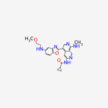 CNc1ncc(-c2nc3cc(NCCOC)ccc3o2)c2cc(NC(=O)C3CC3)ncc12